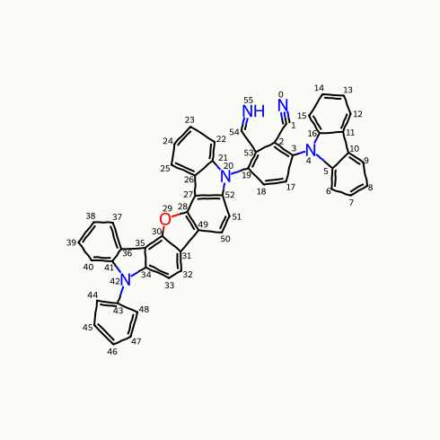 N#Cc1c(-n2c3ccccc3c3ccccc32)ccc(-n2c3ccccc3c3c4oc5c(ccc6c5c5ccccc5n6-c5ccccc5)c4ccc32)c1C=N